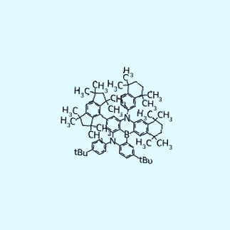 CC(C)(C)c1ccc(N2c3ccc(C(C)(C)C)cc3B3c4cc5c(cc4N(c4ccc6c(c4)C(C)(C)CCC6(C)C)c4cc(-c6c7c(cc8c6C(C)(C)CC8(C)C)C(C)(C)CC7(C)C)cc2c43)C(C)(C)CCC5(C)C)cc1